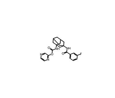 O=C(NC12CC3CC(C1)CC(NC(=O)c1cccc(F)c1)(C3)C2)Oc1cnccn1